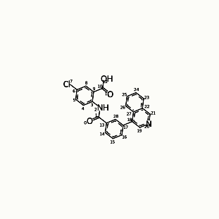 O=C(Nc1ccc(Cl)cc1C(=O)O)c1cccc(-c2cncc3ccccc23)c1